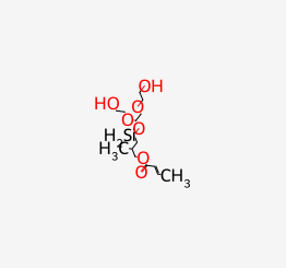 CC=CC(=O)OCC(C)C[SiH2]OC(COCCO)OCCO